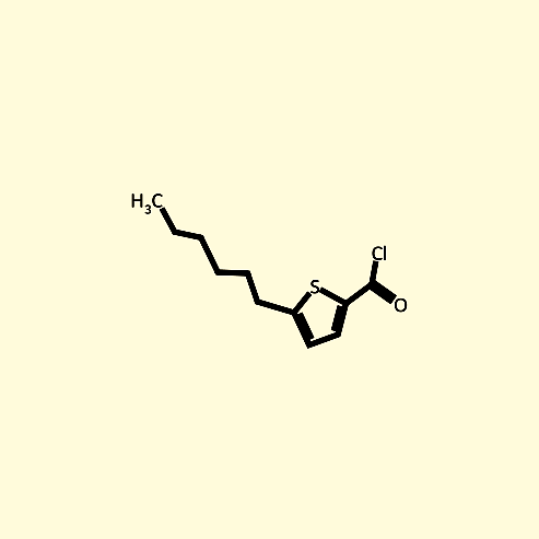 CCCCCCc1ccc(C(=O)Cl)s1